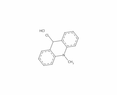 CN1c2ccccc2C(Cl)c2ccccc21.Cl